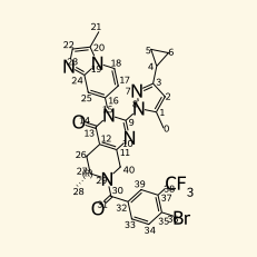 Cc1cc(C2CC2)nn1-c1nc2c(c(=O)n1-c1ccn3c(C)cnc3c1)C[C@@H](C)N(C(=O)c1ccc(Br)c(C(F)(F)F)c1)C2